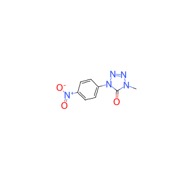 Cn1nnn(-c2ccc([N+](=O)[O-])cc2)c1=O